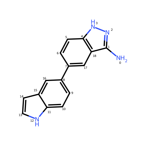 Nc1n[nH]c2ccc(-c3ccc4[nH]ccc4c3)cc12